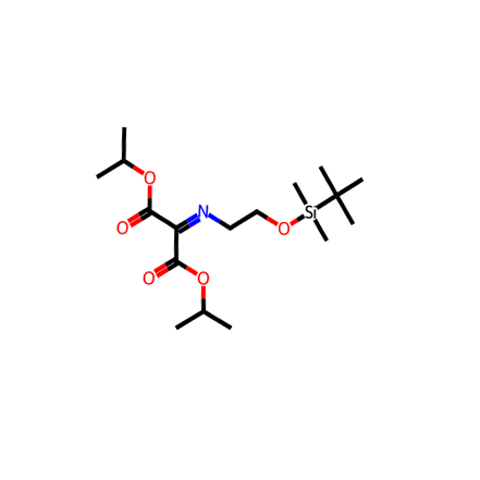 CC(C)OC(=O)C(=NCCO[Si](C)(C)C(C)(C)C)C(=O)OC(C)C